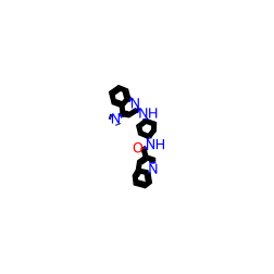 CN(C)c1cc(NC2CCC(NC(=O)c3cnc4ccccc4c3)CC2)nc2ccccc12